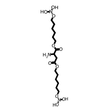 NC(CC(=O)OCCCCCCON(O)O)C(=O)OCCCCCCON(O)O